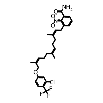 CC(=CCCC(C)=CCc1cccc(C(N)=O)c1[N+](=O)[O-])CCC=C(C)COc1ccc(C(F)(F)F)c(Cl)c1